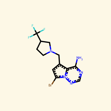 Nc1ncnn2c(Br)cc(CN3CCC(C(F)(F)F)C3)c12